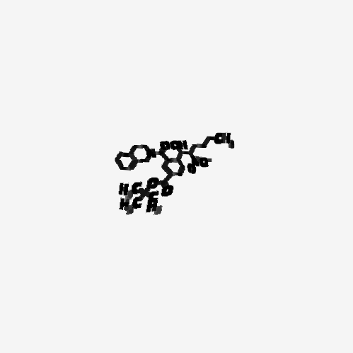 CCCCC(C(O)c1ccc(C(=O)OC(C)(C)C)cc1C(=O)N1CCc2ccccc2C1)[N+](=O)[O-]